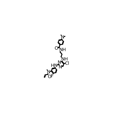 C=CC(=O)N(C)c1cc(Nc2ncc(Cl)c(NCCCNC(=O)c3ccc(N(C)C)cc3)n2)ccc1F